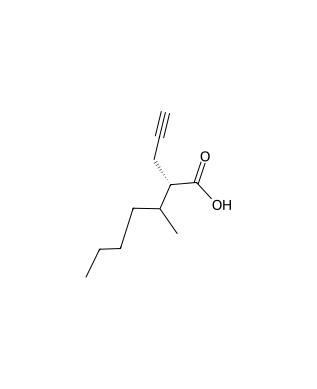 C#CC[C@H](C(=O)O)C(C)CCCC